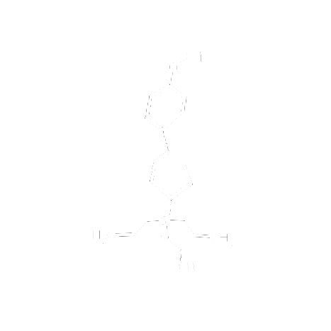 C=CC[Si](CC=C)(OCC)c1ccc(-c2ccc(OC)cc2)cc1